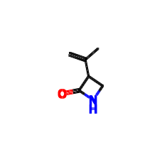 C=C(C)C1CNC1=O